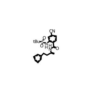 C=C(CCc1ccccc1)NC(=O)c1ccc(C#N)cc1NS(=O)(=O)C(C)(C)C